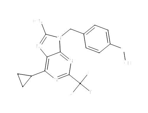 COc1ccc(Cn2c(N)nc3c(C4CC4)nc(C(F)(F)F)nc32)cc1